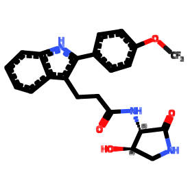 O=C(CCc1c(-c2ccc(OC(F)(F)F)cc2)[nH]c2ccccc12)N[C@@H]1C(=O)NC[C@H]1O